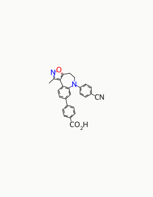 Cc1noc2c1-c1ccc(-c3ccc(C(=O)O)cc3)cc1N(c1ccc(C#N)cc1)CC2